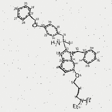 CCN(CC)CCCOc1ccc2nc([C@](N)(I)Cc3ccc(OCc4ccccc4)cc3)n(Cc3ccccc3)c2c1